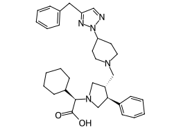 O=C(O)[C@@H](C1CCCCC1)N1C[C@H](CN2CCC(n3ncc(Cc4ccccc4)n3)CC2)[C@@H](c2ccccc2)C1